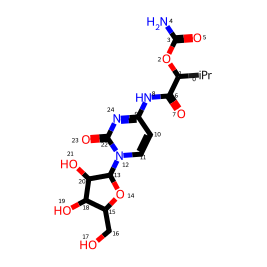 CC(C)C(OC(N)=O)C(=O)Nc1ccn(C2OC(CO)C(O)C2O)c(=O)n1